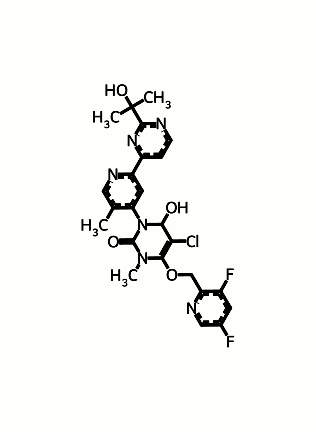 Cc1cnc(-c2ccnc(C(C)(C)O)n2)cc1N1C(=O)N(C)C(OCc2ncc(F)cc2F)=C(Cl)C1O